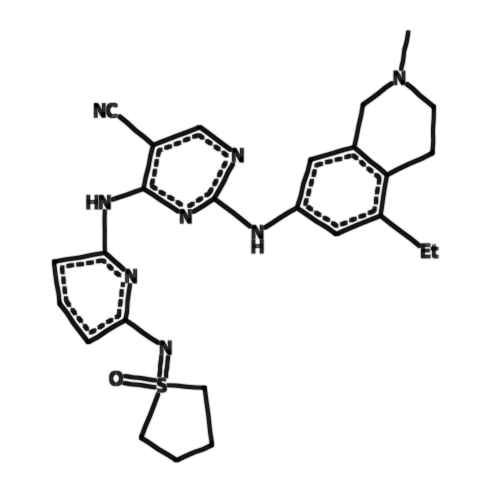 CCc1cc(Nc2ncc(C#N)c(Nc3cccc(N=S4(=O)CCCC4)n3)n2)cc2c1CCN(C)C2